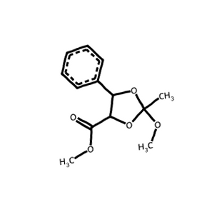 COC(=O)C1OC(C)(OC)OC1c1ccccc1